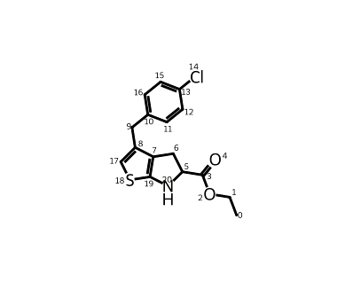 CCOC(=O)C1Cc2c(Cc3ccc(Cl)cc3)csc2N1